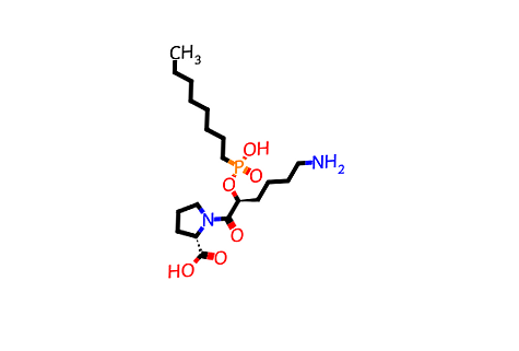 CCCCCCCCP(=O)(O)O[C@@H](CCCCN)C(=O)N1CCC[C@H]1C(=O)O